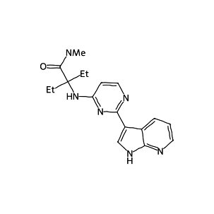 CCC(CC)(Nc1ccnc(-c2c[nH]c3ncccc23)n1)C(=O)NC